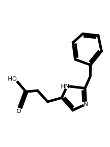 O=C(O)CCc1cnc(Cc2ccccc2)[nH]1